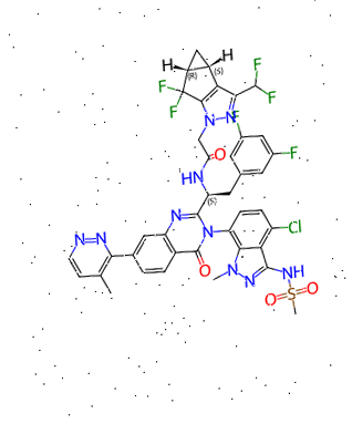 Cc1ccnnc1-c1ccc2c(=O)n(-c3ccc(Cl)c4c(NS(C)(=O)=O)nn(C)c34)c([C@H](Cc3cc(F)cc(F)c3)NC(=O)Cn3nc(C(F)F)c4c3C(F)(F)[C@@H]3C[C@H]43)nc2c1